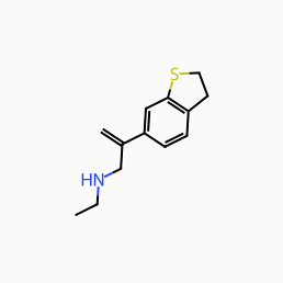 C=C(CNCC)c1ccc2c(c1)SCC2